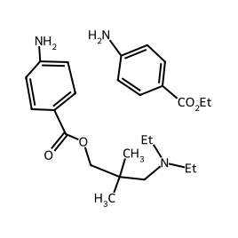 CCN(CC)CC(C)(C)COC(=O)c1ccc(N)cc1.CCOC(=O)c1ccc(N)cc1